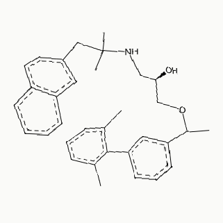 Cc1cccc(C)c1-c1cccc(C(C)OC[C@H](O)CNC(C)(C)Cc2ccc3ccccc3c2)c1